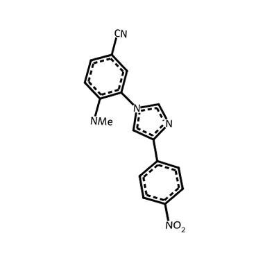 CNc1ccc(C#N)cc1-n1cnc(-c2ccc([N+](=O)[O-])cc2)c1